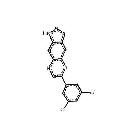 Clc1cc(Cl)cc(-c2cnc3cc4[nH]ncc4cc3n2)c1